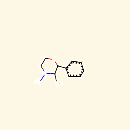 NN1CCOC(c2ccccc2)C1C=O